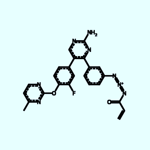 C=CC(=O)N=[N+]=Nc1cccc(-c2nc(N)ncc2-c2ccc(Oc3nccc(C)n3)c(F)c2)c1